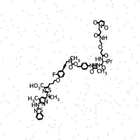 Cc1cc(N(C)c2nc(C(=O)O)c(CCCOc3ccc(C#CCN(C)C(=O)OCc4ccc(NC(=O)[C@H](C)NC(=O)[C@@H](NC(=O)CCOCCNC(=O)CCN5C(=O)C=CC5=O)C(C)C)cc4)cc3F)s2)nnc1Nc1nc2ccccc2s1